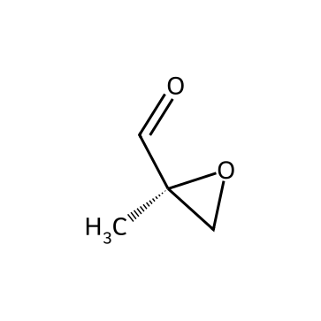 C[C@@]1(C=O)CO1